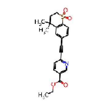 CCOC(=O)c1ccc(C#Cc2ccc3c(c2)C(C)(C)CCS3(=O)=O)nc1